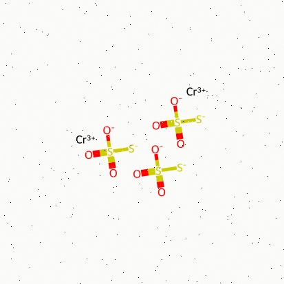 O=S(=O)([O-])[S-].O=S(=O)([O-])[S-].O=S(=O)([O-])[S-].[Cr+3].[Cr+3]